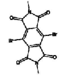 Cn1c(=O)c2c(Br)c3c(=O)n(C)c(=O)c3c(Br)c2c1=O